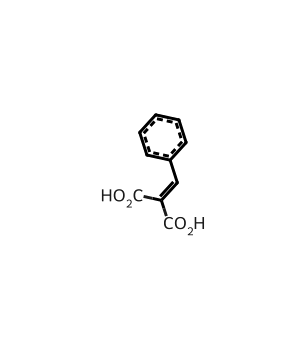 O=C(O)C(=Cc1ccccc1)C(=O)O